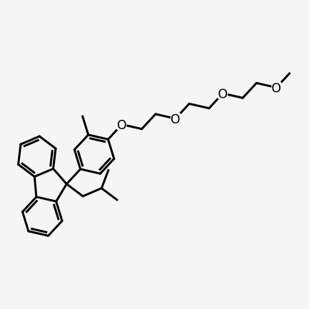 COCCOCCOCCOc1ccc(C2(CC(C)C)c3ccccc3-c3ccccc32)cc1C